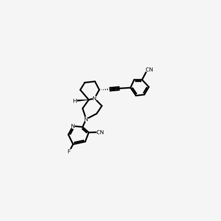 N#Cc1cccc(C#C[C@H]2CCC[C@H]3CN(c4ncc(F)cc4C#N)CCN32)c1